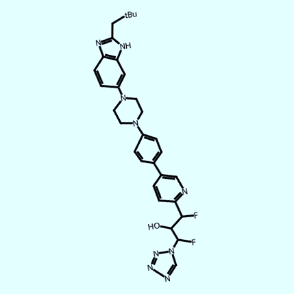 CC(C)(C)Cc1nc2ccc(N3CCN(c4ccc(-c5ccc(C(F)C(O)C(F)n6cnnn6)nc5)cc4)CC3)cc2[nH]1